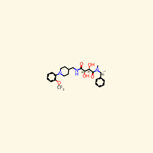 C[C@H](c1ccccc1)N(C)C(=O)[C@H](O)[C@@H](O)C(=O)NCC1CCN(c2ccccc2OC(F)(F)F)CC1